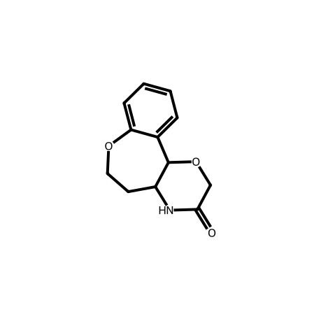 O=C1COC2c3ccccc3OCCC2N1